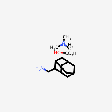 CN(C)C.NCC1C2CC3CC(C2)CC1C3.O=C(O)O